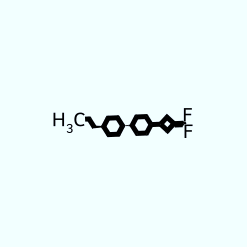 CCC[C@H]1CC[C@H](C2CCC(C3CC(=C(F)F)C3)CC2)CC1